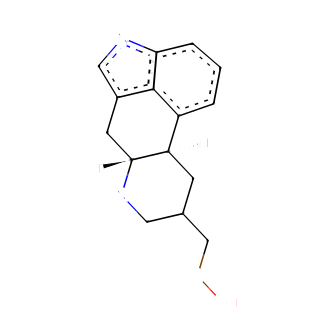 OSCC1CN[C@@H]2Cc3c[nH]c4cccc(c34)[C@H]2C1